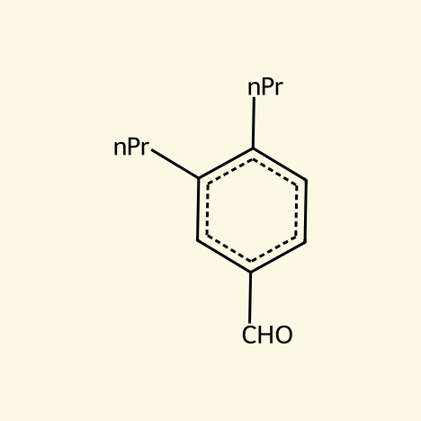 CCCc1ccc(C=O)cc1CCC